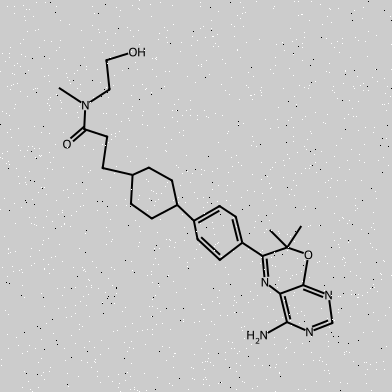 CN(CCO)C(=O)CCC1CCC(c2ccc(C3=Nc4c(N)ncnc4OC3(C)C)cc2)CC1